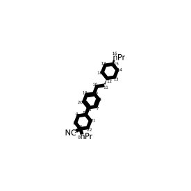 CCCC1(C#N)CCC(c2ccc(CC[C@H]3CC[C@H](CCC)CC3)cc2)CC1